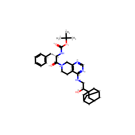 CC(C)(C)OC(=O)N[C@@H](Cc1ccccc1)C(=O)N1CCc2c(ncnc2NCC(O)C23CC4CC(CC(C4)C2)C3)C1